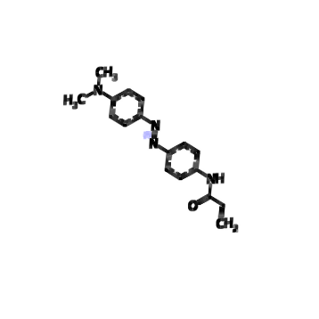 C=CC(=O)Nc1ccc(/N=N/c2ccc(N(C)C)cc2)cc1